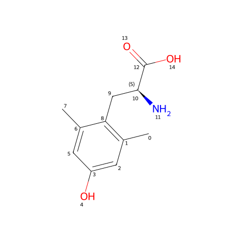 Cc1cc(O)cc(C)c1C[C@H](N)C(=O)O